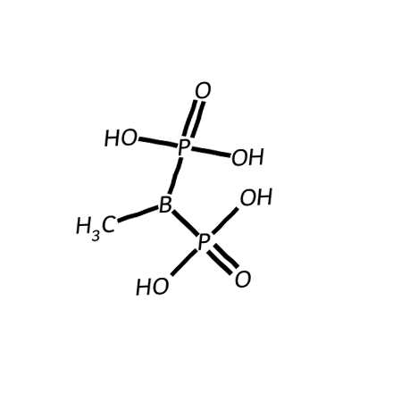 CB(P(=O)(O)O)P(=O)(O)O